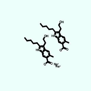 CCCCCc1[nH]c2cc(C(=O)[O-])c(C)cc2c1CCO.CCCCCc1[nH]c2cc(C(=O)[O-])c(C)cc2c1CCO.[Na+].[Na+]